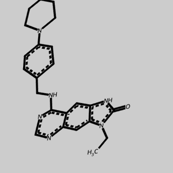 CCn1c(=O)[nH]c2cc3c(NCc4ccc(N5CCCCC5)cc4)ncnc3cc21